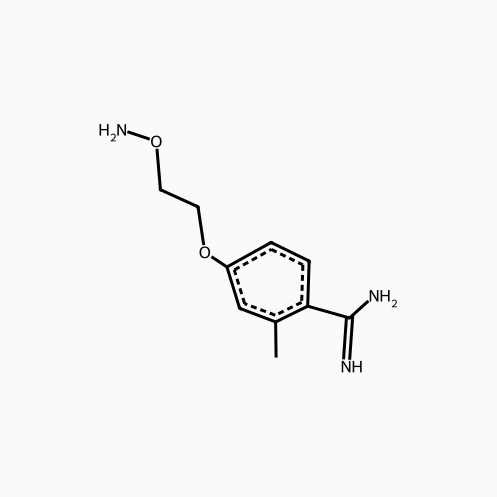 Cc1cc(OCCON)ccc1C(=N)N